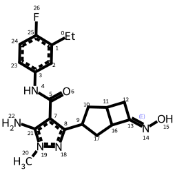 CCc1cc(NC(=O)c2c(C3CC4C/C(=N\O)C4C3)nn(C)c2N)ccc1F